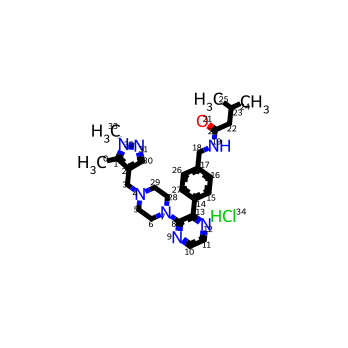 Cc1c(CN2CCN(c3nccnc3-c3ccc(CNC(=O)CC(C)C)cc3)CC2)cnn1C.Cl